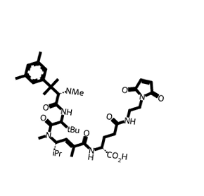 CN[C@H](C(=O)NC(C(=O)N(C)[C@H](/C=C(\C)C(=O)N[C@H](CCC(=O)NCCN1C(=O)C=CC1=O)C(=O)O)C(C)C)C(C)(C)C)C(C)(C)c1cc(C)cc(C)c1